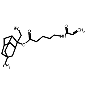 C=CC(=O)NCCCCC(=O)OC1(CC(C)C)C2CC3CC1CC(C)(C3)C2